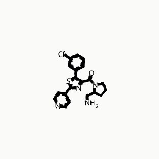 NCC1CCCN1C(=O)c1nc(-c2ccncc2)sc1-c1cccc(Cl)c1